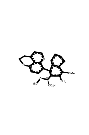 COc1c(C)c([C@H](OC(C)(C)C)C(=O)O)c(-c2ccc3c4c(ccnc24)CCO3)c2ccccc12